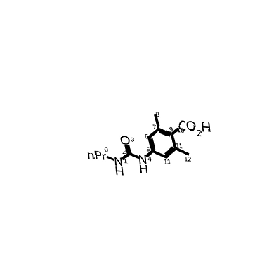 CCCNC(=O)Nc1cc(C)c(C(=O)O)c(C)c1